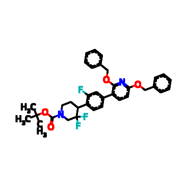 CC(C)(C)OC(=O)N1CCC(c2ccc(-c3ccc(OCc4ccccc4)nc3OCc3ccccc3)cc2F)C(F)(F)C1